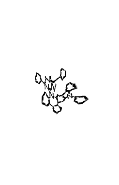 c1ccc(-c2nc(-c3ccccc3)nc(N3c4ccccc4-c4ccccc4-c4cc5c(cc43)c3ccccc3n5-c3ccccc3)n2)cc1